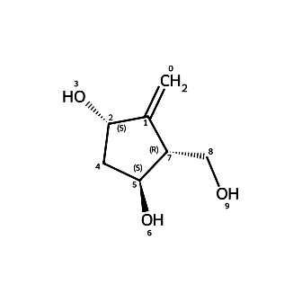 C=C1[C@@H](O)C[C@H](O)[C@H]1CO